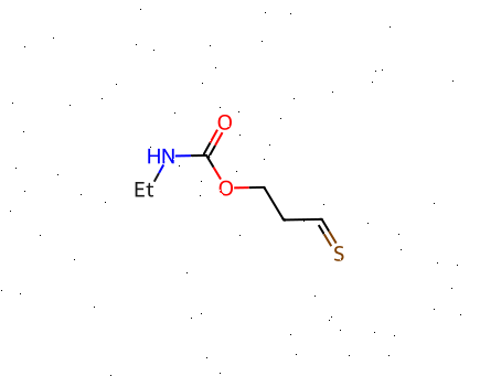 CCNC(=O)OCCC=S